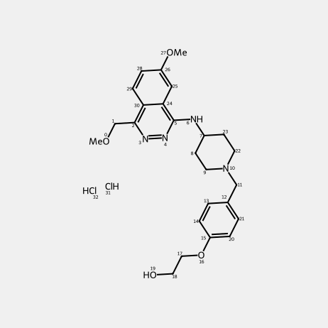 COCc1nnc(NC2CCN(Cc3ccc(OCCO)cc3)CC2)c2cc(OC)ccc12.Cl.Cl